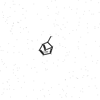 CC1c2cccc1c2O